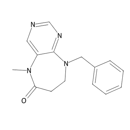 CN1C(=O)CCN(Cc2ccccc2)c2ncncc21